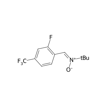 CC(C)(C)[N+]([O-])=Cc1ccc(C(F)(F)F)cc1F